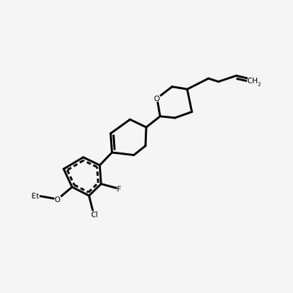 C=CCCC1CCC(C2CC=C(c3ccc(OCC)c(Cl)c3F)CC2)OC1